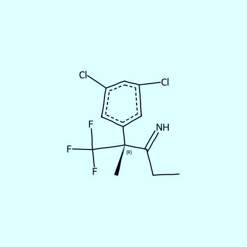 CCC(=N)[C@@](C)(c1cc(Cl)cc(Cl)c1)C(F)(F)F